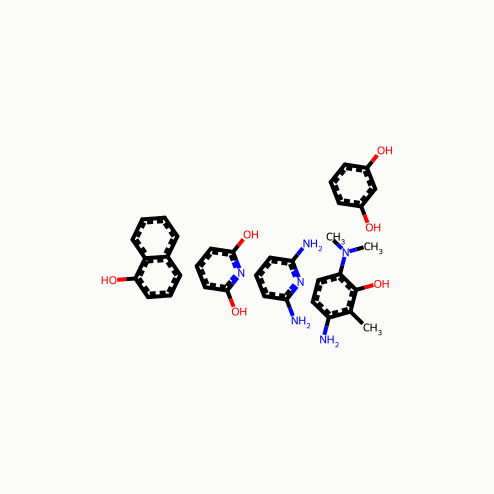 Cc1c(N)ccc(N(C)C)c1O.Nc1cccc(N)n1.Oc1cccc(O)c1.Oc1cccc(O)n1.Oc1cccc2ccccc12